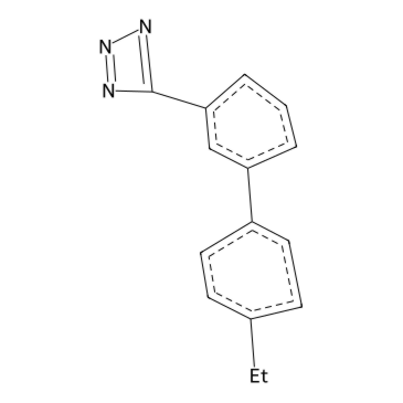 CCc1ccc(-c2cccc(C3=NN=N3)c2)cc1